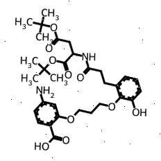 CC(C)(C)OC(=O)CC(NC(=O)CCc1cccc(O)c1OCCCOc1cc(N)ccc1C(=O)O)C(=O)OC(C)(C)C